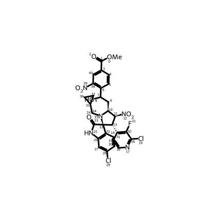 COC(=O)c1ccc(C(O)C[C@H]2[C@@H]([N+](=O)[O-])[C@H](c3ccnc(Cl)c3F)[C@]3(C(=O)Nc4cc(Cl)ccc43)N2CC2CC2)c([N+](=O)[O-])c1